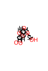 CC(C)[C@]12O[C@H]1[C@@H]1O[C@@]13[C@@]1(C)CCC4=C(COC4=O)[C@@H]1C1C[C@@]3(O1)[C@@H]2OCC[Si](C)(C)O